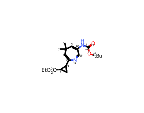 CCOC(=O)C1CC1C1=CC(C)(C)C=C(NC(=O)OC(C)(C)C)C=N1